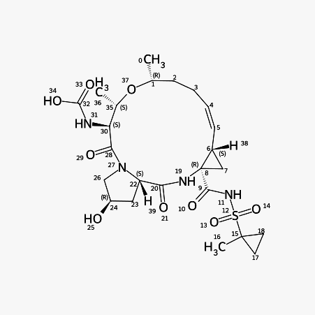 C[C@@H]1CCC=C[C@@H]2C[C@@]2(C(=O)NS(=O)(=O)C2(C)CC2)NC(=O)[C@@H]2C[C@@H](O)CN2C(=O)[C@@H](NC(=O)O)[C@H](C)O1